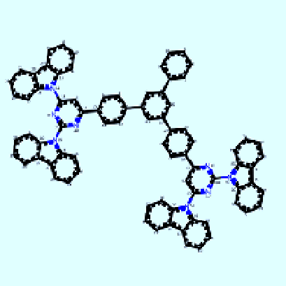 c1ccc(-c2cc(-c3ccc(-c4cc(-n5c6ccccc6c6ccccc65)nc(-n5c6ccccc6c6ccccc65)n4)cc3)cc(-c3ccc(-c4cc(-n5c6ccccc6c6ccccc65)nc(-n5c6ccccc6c6ccccc65)n4)cc3)c2)cc1